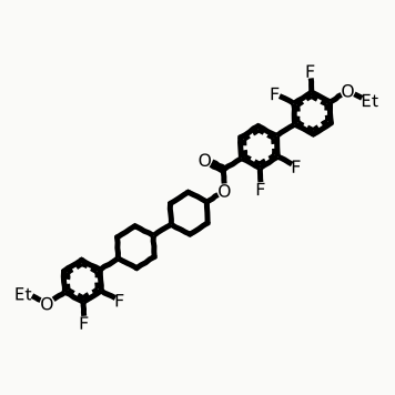 CCOc1ccc(-c2ccc(C(=O)OC3CCC(C4CCC(c5ccc(OCC)c(F)c5F)CC4)CC3)c(F)c2F)c(F)c1F